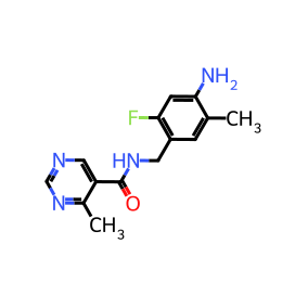 Cc1cc(CNC(=O)c2cncnc2C)c(F)cc1N